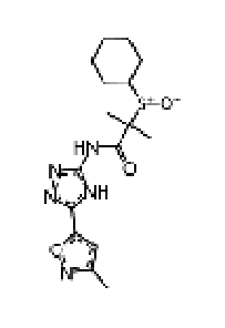 Cc1cc(-c2nnc(NC(=O)C(C)(C)[S+]([O-])C3CCCCC3)[nH]2)on1